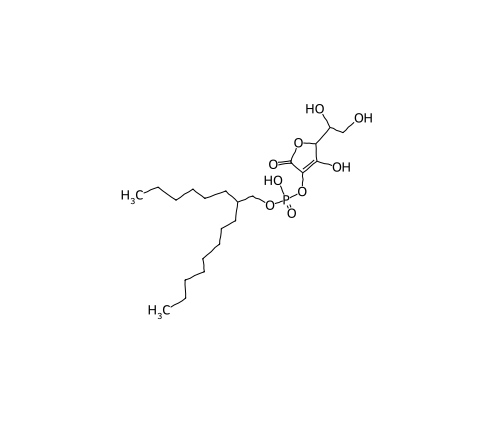 CCCCCCCCC(CCCCCC)COP(=O)(O)OC1=C(O)C(C(O)CO)OC1=O